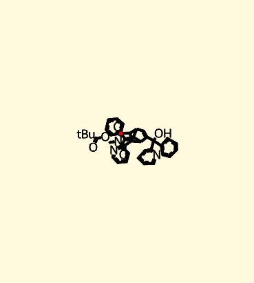 CC(C)(C)C(=O)OCN1C(=O)C2C3C=C(C(O)(c4ccccc4)c4ccccn4)C(C3=C(c3ccccc3)c3ccccn3)C2C1=O